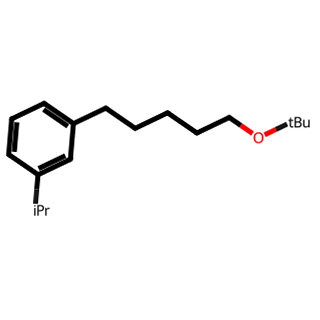 CC(C)c1cccc(CCCCCOC(C)(C)C)c1